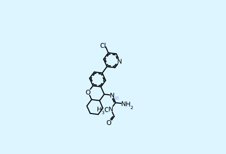 CN(C=O)/C(N)=N\C1c2cc(-c3cncc(Cl)c3)ccc2OC2CCCCC21